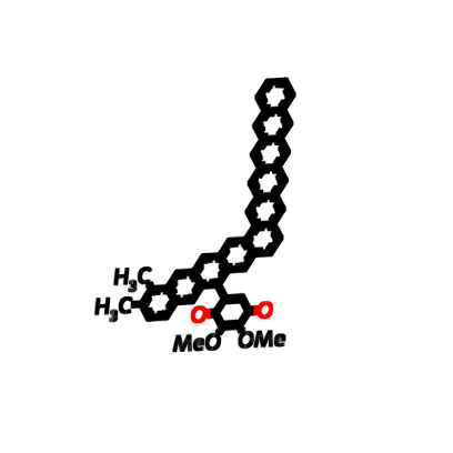 COC1=C(OC)C(=O)C(c2c3cc4ccc(C)c(C)c4cc3cc3cc4c(ccc5cc6cc7cc8cc9ccccc9cc8cc7cc6cc54)cc23)=CC1=O